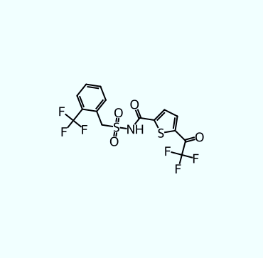 O=C(NS(=O)(=O)Cc1ccccc1C(F)(F)F)c1ccc(C(=O)C(F)(F)F)s1